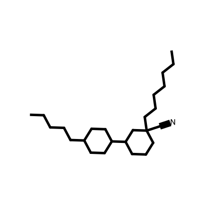 CCCCCCCC1(C#N)CCCC(C2CCC(CCCCC)CC2)C1